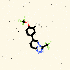 Cc1cc(-c2ccc3nnc(C(F)(F)F)n3c2)ccc1OC(F)(F)F